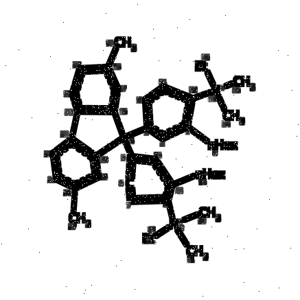 CCCCCCc1cc(C2(c3ccc([N+](C)(C)CC)c(CCCCCC)c3)c3cc(C)ccc3-c3ccc(C)cc32)ccc1[N+](C)(C)CC